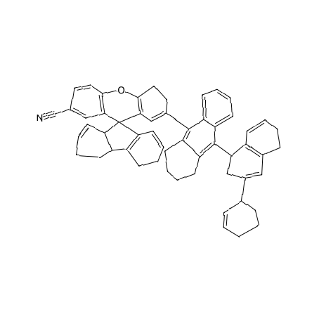 N#Cc1ccc2c(c1)C1(C3=C(CCC(c4c5c(c(C6CC(C7C=CCCC7)=CC7=C6C=CCC7)c6ccccc46)CCCC5)=C3)O2)C2=C(CCC=C2)C2CCC=CC21